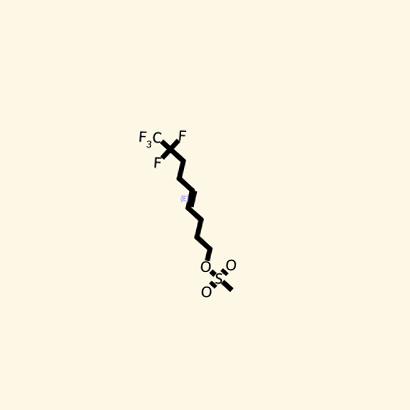 CS(=O)(=O)OCCC/C=C/CCC(F)(F)C(F)(F)F